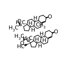 C#C[C@]1(OC(C)=O)CC[C@H]2[C@@H]3CCC4=CC(=O)CC[C@@H]4[C@H]3CC[C@@]21C.CC(=O)[C@H]1CC[C@H]2[C@@H]3CCC4=CC(=O)CC[C@]4(C)[C@H]3CC[C@]12C